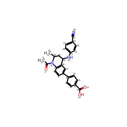 CC(=O)N1c2ccc(-c3ccc(C(=O)O)cc3)cc2C(Nc2ccc(C#N)cc2)CC1C